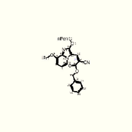 CCCCCOc1nc2c(OC(C)C)cccn2c1/C=C(/C#N)C(=O)OCc1ccccc1